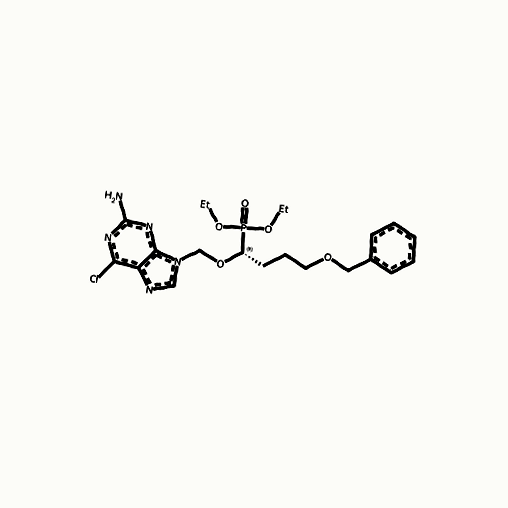 CCOP(=O)(OCC)[C@H](CCCOCc1ccccc1)OCn1cnc2c(Cl)nc(N)nc21